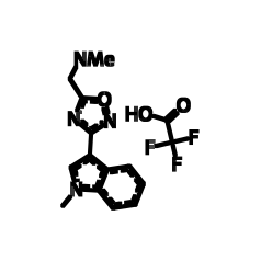 CNCc1nc(-c2cn(C)c3ccccc23)no1.O=C(O)C(F)(F)F